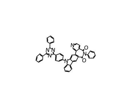 O=c1c2ccncc2c2cc3c(cc2c(=O)n1-c1ccccc1)c1ccccc1n3-c1ccc(-c2nc(-c3ccccc3)nc(-c3ccccc3)n2)cc1